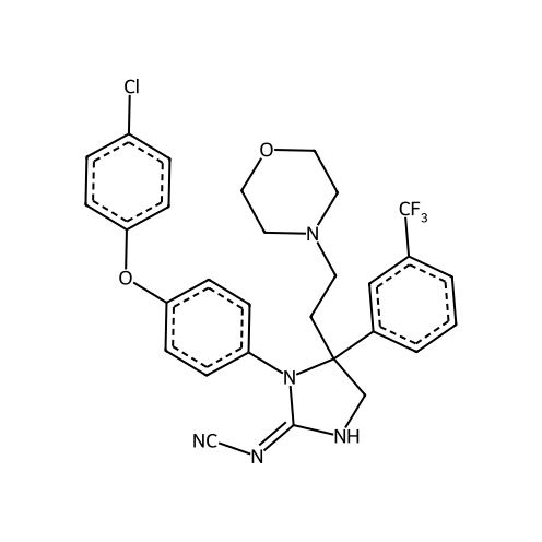 N#CN=C1NCC(CCN2CCOCC2)(c2cccc(C(F)(F)F)c2)N1c1ccc(Oc2ccc(Cl)cc2)cc1